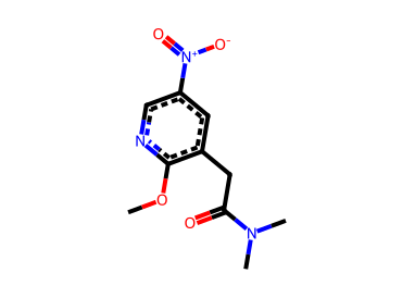 COc1ncc([N+](=O)[O-])cc1CC(=O)N(C)C